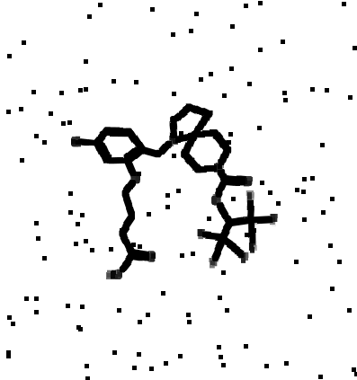 O=C(O)CCCOc1cc(Cl)ccc1CN1CCCC12CCN(C(=O)OC(C(F)(F)F)C(F)(F)F)CC2